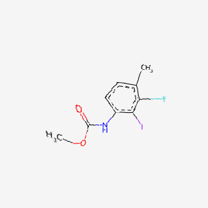 COC(=O)Nc1ccc(C)c(F)c1I